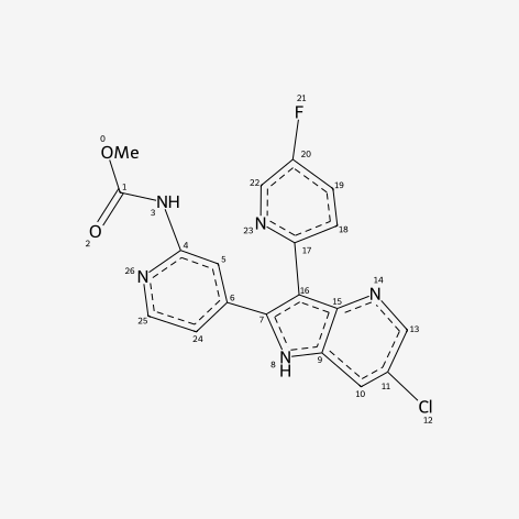 COC(=O)Nc1cc(-c2[nH]c3cc(Cl)cnc3c2-c2ccc(F)cn2)ccn1